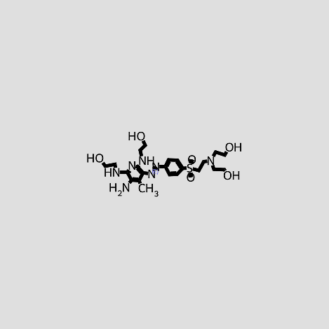 Cc1c(N)c(NCCO)nc(NCCO)c1/N=N/c1ccc(S(=O)(=O)CCN(CCO)CCO)cc1